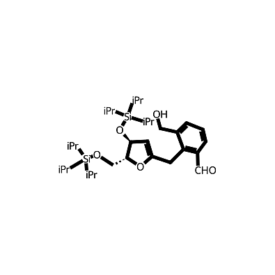 CC(C)[Si](OC[C@H]1OC(Cc2c(C=O)cccc2CO)=C[C@@H]1O[Si](C(C)C)(C(C)C)C(C)C)(C(C)C)C(C)C